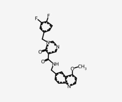 COc1ccnc2ccc(CNC(=O)c3cncn(Cc4ccc(F)c(F)c4)c3=O)cc12